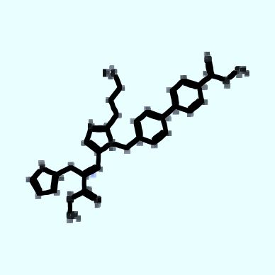 CCCCc1ncc(/C=C(\Cc2cccs2)C(=O)OC)n1Cc1ccc(-c2ccc(C(=O)OC)cc2)cc1